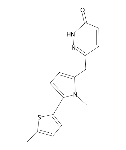 Cc1ccc(-c2ccc(Cc3ccc(=O)[nH]n3)n2C)s1